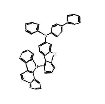 c1ccc(-c2ccc(N(c3ccccc3)c3ccc4c(c3)oc3cccc(-n5c6ccccc6c6ccc7ccccc7c65)c34)cc2)cc1